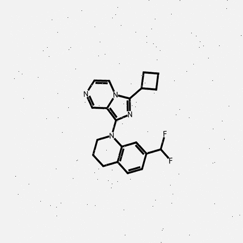 FC(F)c1ccc2c(c1)N(c1nc(C3CCC3)n3ccncc13)CCC2